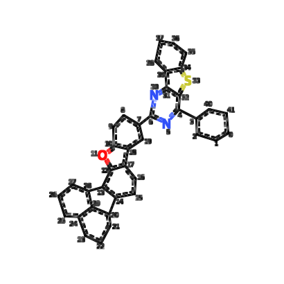 c1ccc(-c2nc(-c3ccc4oc5c6c(ccc5c4c3)-c3cccc4cccc-6c34)nc3c2sc2ccccc23)cc1